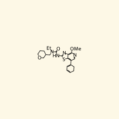 CCN(CC1CCCOC1)C(=O)Nc1nc2c(OC)ncc(C3=CC=CCC3)c2s1